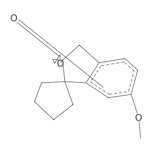 COc1ccc2c(c1)C1(CCCC1)C1(CCC(=O)O1)C2